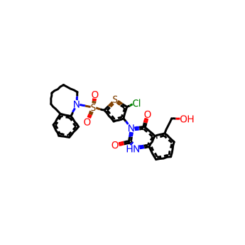 O=c1[nH]c2cccc(CO)c2c(=O)n1-c1cc(S(=O)(=O)N2CCCCc3ccccc32)sc1Cl